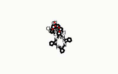 Clc1ccc(Cl)[c]([Zn]([c]2ccc3c4nc5nc(nc6[nH]c(nc7nc(nc([nH]4)c3c2)-c2ccccc2-7)c2ccccc62)-c2ccccc2-5)([c]2cc(Cl)ccc2Cl)([c]2cc(Cl)ccc2Cl)[c]2cc(Cl)ccc2Cl)c1